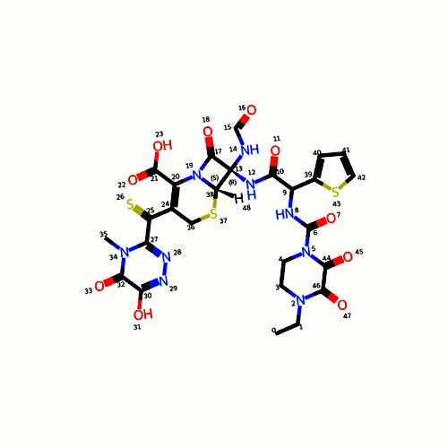 CCN1CCN(C(=O)NC(C(=O)N[C@]2(NC=O)C(=O)N3C(C(=O)O)=C(C(=S)c4nnc(O)c(=O)n4C)CS[C@H]32)c2cccs2)C(=O)C1=O